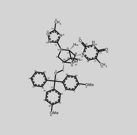 COc1ccc(C(OC[C@@]23CN(c4noc(C)n4)[C@@H]([C@H](n4cc(C)c(=O)[nH]c4=O)O2)[C@@H]3O)(c2ccccc2)c2ccc(OC)cc2)cc1